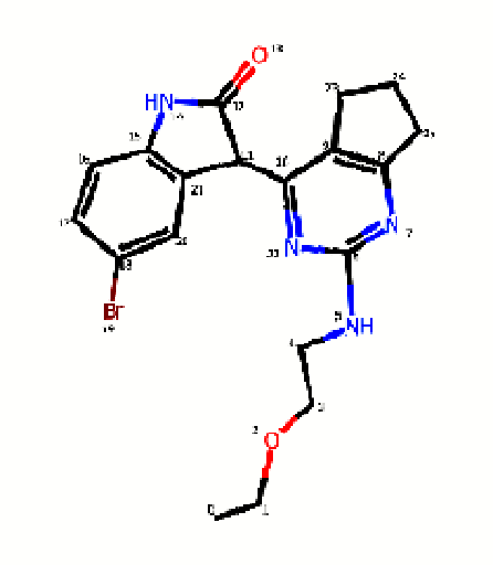 CCOCCNc1nc2c(c(C3C(=O)Nc4ccc(Br)cc43)n1)CCC2